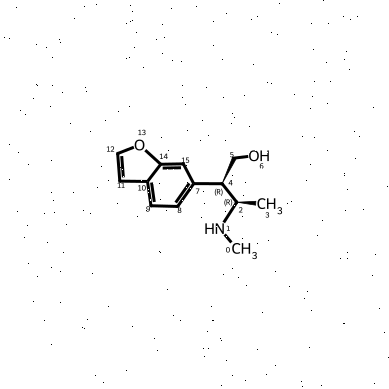 CN[C@H](C)[C@H](CO)c1ccc2ccoc2c1